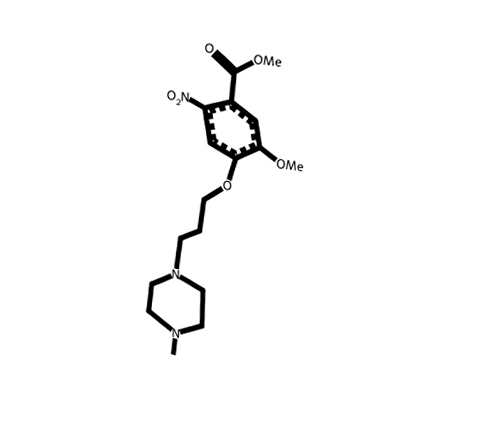 COC(=O)c1cc(OC)c(OCCCN2CCN(C)CC2)cc1[N+](=O)[O-]